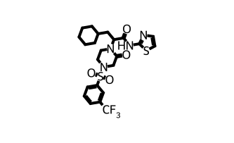 O=C(Nc1nccs1)C(CC1CCCCC1)N1CCN(S(=O)(=O)c2cccc(C(F)(F)F)c2)CC1=O